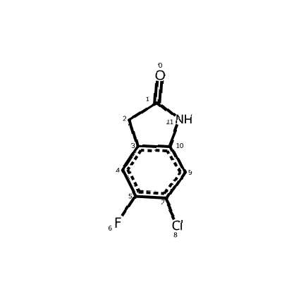 O=C1Cc2cc(F)c(Cl)cc2N1